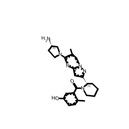 Cc1ccc(O)cc1C(=O)N1CCCC[C@H]1c1cc2nc(N3CC[C@H](N)C3)c(C)cn2n1